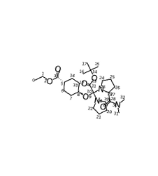 CCOC(=O)[C@H]1CC[C@H](OC(C(=O)OC(C)(C)C)(N2CCCC2)N2CCC[C@H]2C(=O)N(C)C)CC1